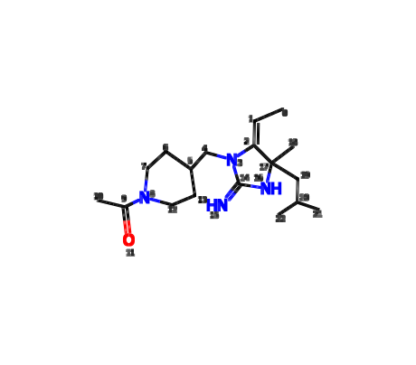 CC=C1N(CC2CCN(C(C)=O)CC2)C(=N)NC1(C)CC(C)C